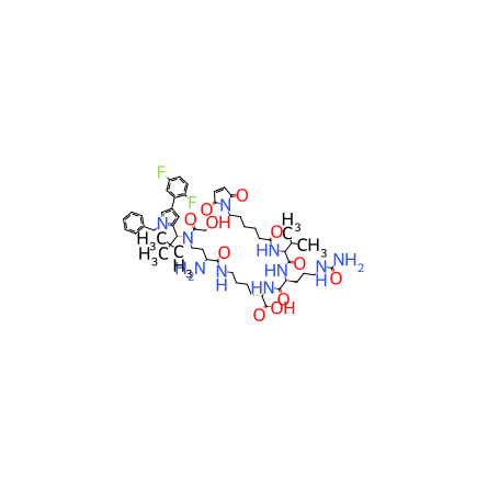 CC(C)C(NC(=O)CCCCCN1C(=O)C=CC1=O)C(=O)N[C@@H](CCCNC(N)=O)C(=O)N[C@@H](CCCCNC(=O)[C@@H](N)CCN(C(=O)CO)[C@@H](c1cc(-c2cc(F)ccc2F)cn1Cc1ccccc1)C(C)(C)C)C(=O)O